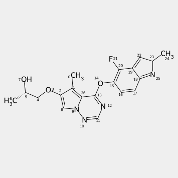 Cc1c(OC[C@H](C)O)cn2ncnc(Oc3ccc4c(c3F)=CC(C)N=4)c12